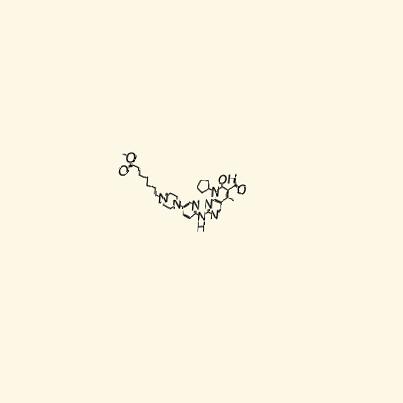 COC(=O)CCCCCCN1CCN(c2ccc(Nc3ncc4c(n3)N(C3CCCC3)C(O)C(C(C)=O)=C4C)nc2)CC1